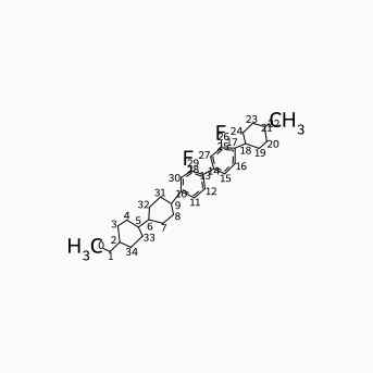 CCC1CCC(C2CCC(c3ccc(-c4ccc(C5CCC(C)CC5)c(F)c4)c(F)c3)CC2)CC1